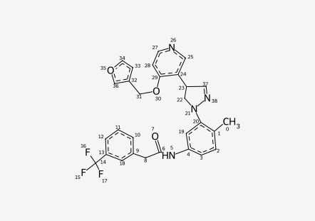 Cc1ccc(NC(=O)Cc2cccc(C(F)(F)F)c2)cc1N1CC(c2cnccc2OCc2ccoc2)C=N1